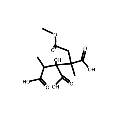 COC(=O)CC(C)(C(=O)O)C(O)(C(=O)O)C(C)C(=O)O